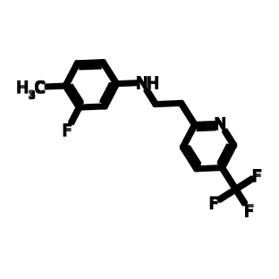 Cc1ccc(NCCc2ccc(C(F)(F)F)cn2)cc1F